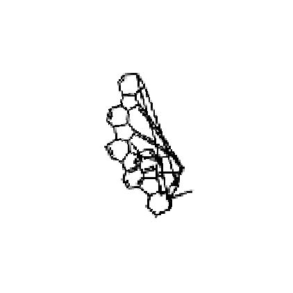 Cc1ccc(C2N(C)C(C)C34C5=C6C7=C8C9C%10C=CC%11C%12C=CC%13c%14ccc%15c%16c(c6c6c(c%14%16)C%13C%12C(=C76)C%119)C23C%15CCC4C2C=CC%10C8C52)cc1